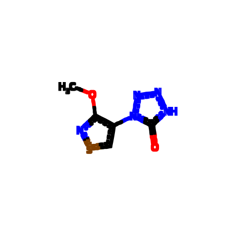 COc1nscc1-n1nn[nH]c1=O